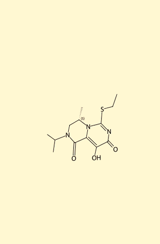 CCSc1nc(=O)c(O)c2n1[C@@H](C)CN(C(C)C)C2=O